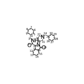 O=C(NCc1ccccc1)C1c2ccccc2C(=O)N1C1CCN(Cc2ccccc2)C1